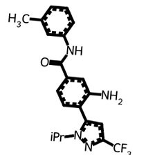 Cc1cccc(NC(=O)c2ccc(-c3cc(C(F)(F)F)nn3C(C)C)c(N)c2)c1